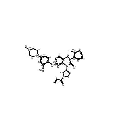 C=CC(=O)N1CC[C@H](N2C(=O)N(c3ccccc3Cl)Cc3cnc(Nc4ccc(N5CCN(C)CC5)cc4OC)nc32)C1